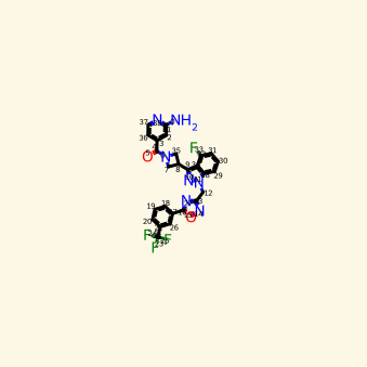 Nc1cc(C(=O)N2CC(c3nn(Cc4noc(-c5cccc(C(F)(F)F)c5)n4)c4cccc(F)c34)C2)ccn1